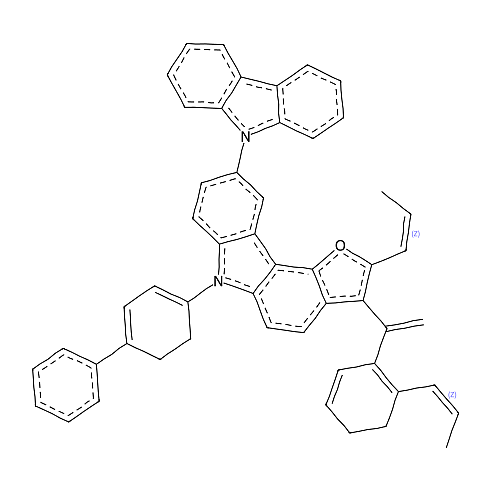 C=C(C1=C(/C=C\C)CCC=C1)c1c(/C=C\C)oc2c1ccc1c2c2cc(-n3c4ccccc4c4ccccc43)ccc2n1C1=CC=C(c2ccccc2)CC1